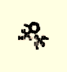 COS(=O)(=O)OC.Cc1ccccc1S(=O)(=O)O